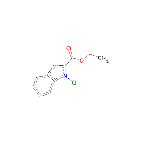 CCOC(=O)c1cc2ccccc2n1Cl